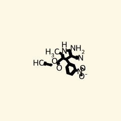 C#CCOC(=O)C1=C(C)NC(N)=C(C#N)C1c1cccc([N+](=O)[O-])c1